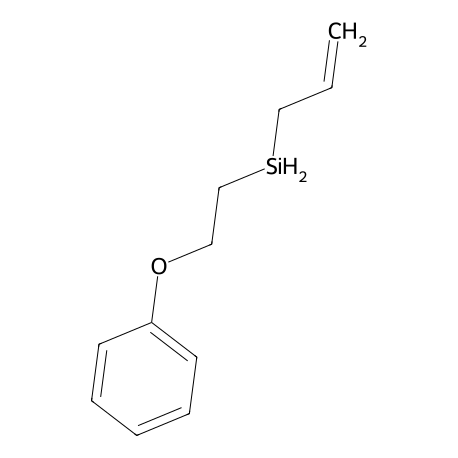 C=CC[SiH2]CCOc1ccccc1